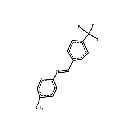 Cc1ccc(N=Cc2ccc(C(F)(F)F)cc2)cc1